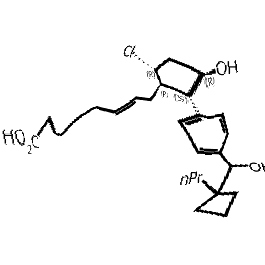 CCCC1(C(O)c2ccc([C@@H]3[C@@H](CC=CCCCC(=O)O)[C@H](Cl)C[C@H]3O)cc2)CCC1